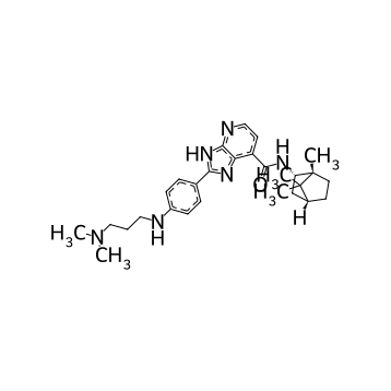 CN(C)CCCNc1ccc(-c2nc3c(C(=O)N[C@H]4C[C@H]5CC[C@]4(C)C5(C)C)ccnc3[nH]2)cc1